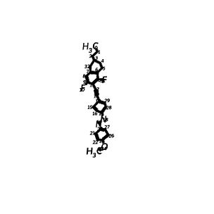 CCCC1CCc2c(cc(F)c(C#Cc3ccc(N=Nc4ccc(OC)cc4)cc3)c2F)C1